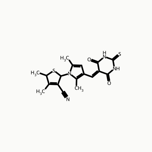 CC1=C(C#N)C(n2c(C)cc(C=C3C(=O)NC(=S)NC3=O)c2C)SC1C